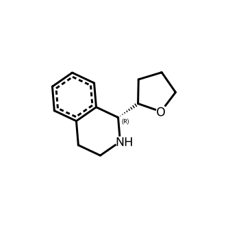 c1ccc2c(c1)CCN[C@H]2C1CCCO1